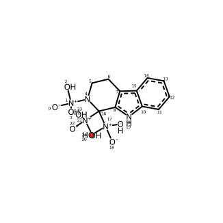 [O-][N+](O)(O)N1CCc2c([nH]c3ccccc23)C1([N+]([O-])(O)O)[N+]([O-])(O)O